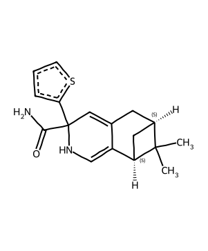 CC1(C)[C@@H]2CC3=CC(C(N)=O)(c4cccs4)NC=C3[C@H]1C2